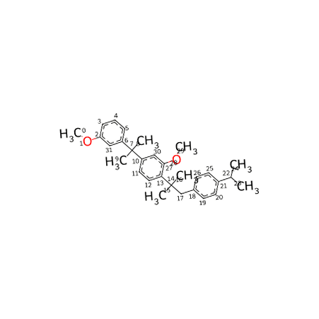 COc1cccc(C(C)(C)c2ccc(C(C)(C)Cc3ccc(C(C)C)cc3)c(OC)c2)c1